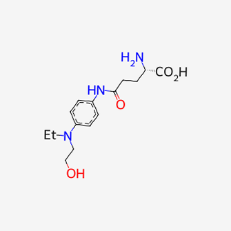 CCN(CCO)c1ccc(NC(=O)CC[C@H](N)C(=O)O)cc1